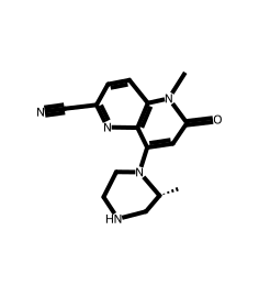 C[C@@H]1CNCCN1c1cc(=O)n(C)c2ccc(C#N)nc12